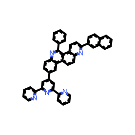 c1ccc(-c2nc3ccc(-c4cc(-c5ccccn5)nc(-c5ccccn5)c4)cc3c3ccc4nc(-c5ccc6ccccc6c5)ccc4c23)cc1